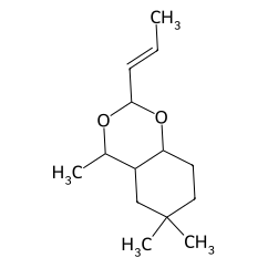 CC=CC1OC(C)C2CC(C)(C)CCC2O1